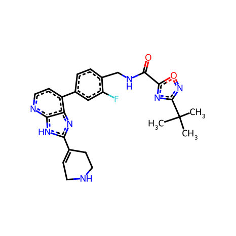 CC(C)(C)c1noc(C(=O)NCc2ccc(-c3ccnc4[nH]c(C5=CCNCC5)nc34)cc2F)n1